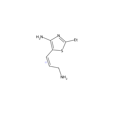 CCc1nc(N)c(/C=C\CN)s1